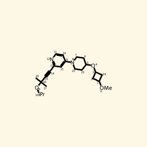 COC1CC(OC2CCN(c3ccnc(C#CC(C)(C)OC(C)C)c3)CC2)C1